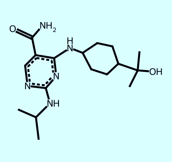 CC(C)Nc1ncc(C(N)=O)c(NC2CCC(C(C)(C)O)CC2)n1